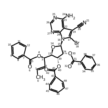 CC=C[C@@H](OC(=O)c1ccccc1)[C@H]1O[C@@H](n2c(Br)c(C#N)c3c(N)ncnc32)[C@H](OC(=O)c2ccccc2)[C@@H]1OC(=O)c1ccccc1